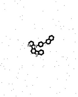 c1ccc2cc(-c3ccc(-n4c5cccnc5c5ccc6sc7ccccc7c6c54)cc3)ccc2c1